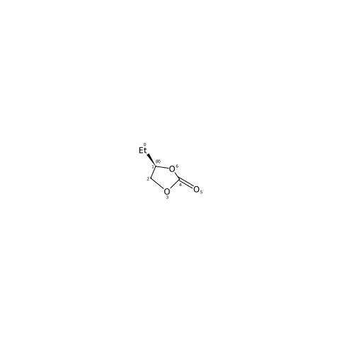 CC[C@@H]1COC(=O)O1